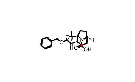 CC(C)(C)[C@]12CC[C@@H](CC[C@H]1NC(=O)OCc1ccccc1)N2C(=O)O